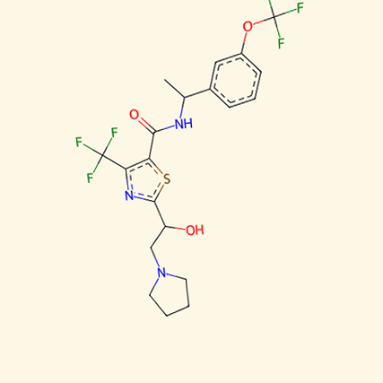 CC(NC(=O)c1sc(C(O)CN2CCCC2)nc1C(F)(F)F)c1cccc(OC(F)(F)F)c1